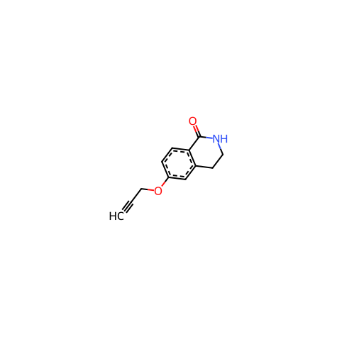 C#CCOc1ccc2c(c1)CCNC2=O